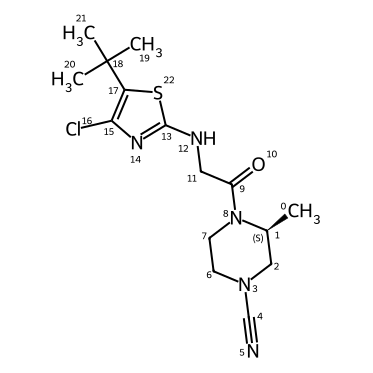 C[C@H]1CN(C#N)CCN1C(=O)CNc1nc(Cl)c(C(C)(C)C)s1